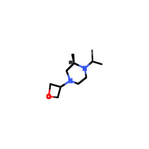 CC(C)N1CCN(C2COC2)C[C@H]1C